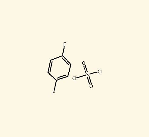 Fc1ccc(F)cc1.O=S(=O)(Cl)Cl